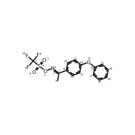 C/C(=N\OS(=O)(=O)C(F)(F)F)c1ccc(Oc2ccccc2)cc1